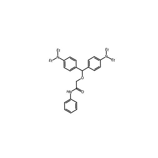 CCN(CC)c1ccc(C(OCC(=O)Nc2ccccc2)c2ccc(N(CC)CC)cc2)cc1